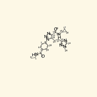 CCNC(=O)c1ccc(-n2nnc(C(=O)NC3CC3)c2CCc2ncn(C)n2)cc1